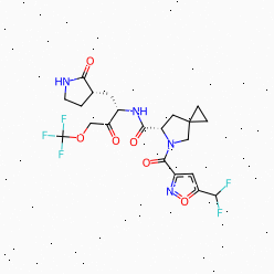 O=C1NCC[C@H]1C[C@H](NC(=O)[C@@H]1CC2(CC2)CN1C(=O)c1cc(C(F)F)on1)C(=O)COC(F)(F)F